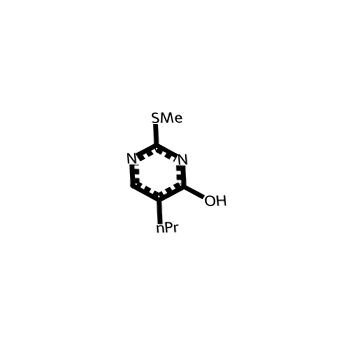 CCCc1cnc(SC)nc1O